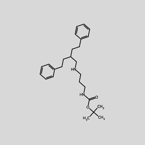 CC(C)(C)OC(=O)NCCCNCC(CCc1ccccc1)CCc1ccccc1